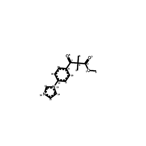 COC(=O)C(C)(C)C(=O)c1ccc(-n2ccnc2)cc1